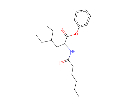 CCCCCC(=O)NC(CC(CC)CC)C(=O)Oc1ccccc1